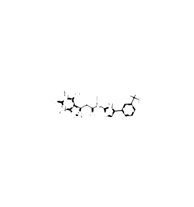 Cn1c(=O)c2c(CC(=O)Nc3nc(-c4cccc(C(F)(F)F)c4)cs3)nsc2n(C)c1=O